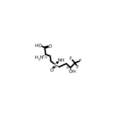 N=[S@@](=O)(CC[C@@H](O)C(F)(F)F)CC[C@H](N)C(=O)O